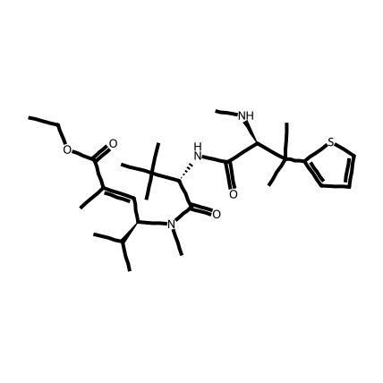 CCOC(=O)/C(C)=C/[C@H](C(C)C)N(C)C(=O)[C@@H](NC(=O)[C@@H](NC)C(C)(C)c1cccs1)C(C)(C)C